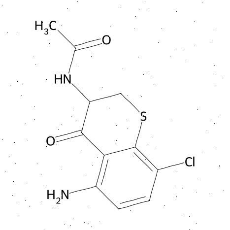 CC(=O)NC1CSc2c(Cl)ccc(N)c2C1=O